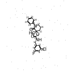 O=C(NCc1cc(F)cc(Cl)c1)OC1(O)CCCN(c2ccccc2)C1=O